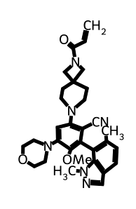 C=CC(=O)N1CC2(CCN(c3cc(N4CCOCC4)c(OC)c(-c4c(C)ccc5cnn(C)c45)c3C#N)CC2)C1